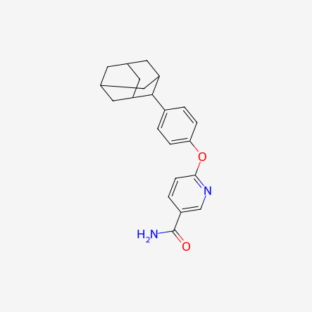 NC(=O)c1ccc(Oc2ccc(C3C4CC5CC(C4)CC3C5)cc2)nc1